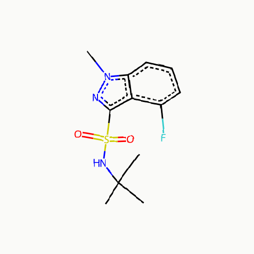 Cn1nc(S(=O)(=O)NC(C)(C)C)c2c(F)cccc21